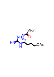 CC(=O)OCCCCNC(=N)N.CCCCCCCCCC(N)=O